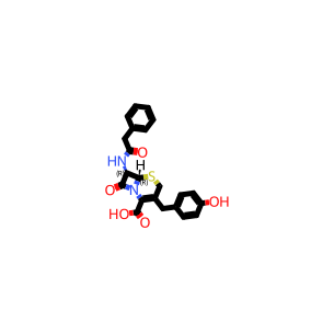 O=C(Cc1ccccc1)N[C@@H]1C(=O)N2C(C(=O)O)=C(Cc3ccc(O)cc3)CS[C@H]12